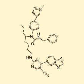 CCCC(CCCCNc1ncc(C#N)c(-c2ccc3scnc3c2)n1)N(C(=O)NCc1ccccc1)c1ccc(-c2cnn(C)c2)cc1